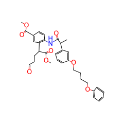 COC(=O)c1ccc(NC(=O)C(C)c2cccc(OCCCCOc3ccccc3)c2)c(C(CCC=O)C(=O)OC)c1